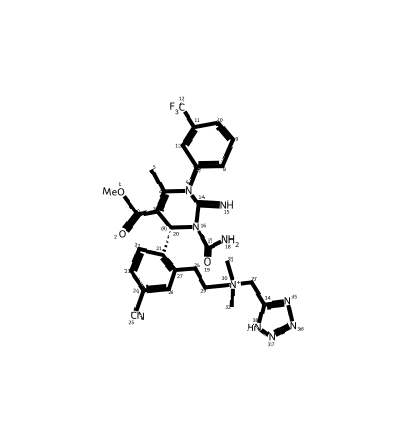 COC(=O)C1=C(C)N(c2cccc(C(F)(F)F)c2)C(=N)N(C(N)=O)[C@@H]1c1ccc(C#N)cc1CC[N+](C)(C)Cc1nnn[nH]1